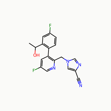 CC(O)c1cc(F)ccc1-c1cc(F)cnc1Cn1cnc(C#N)c1